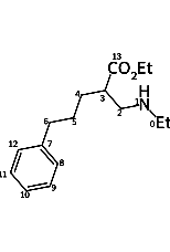 CCNCC(CCCc1ccccc1)C(=O)OCC